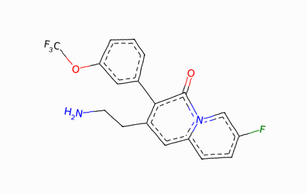 NCCc1cc2ccc(F)cn2c(=O)c1-c1cccc(OC(F)(F)F)c1